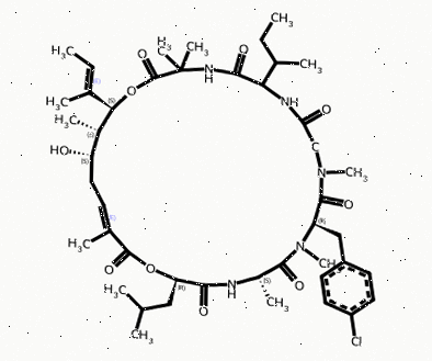 C/C=C(\C)[C@H]1OC(=O)C(C)(C)NC(=O)C(C(C)CC)NC(=O)CN(C)C(=O)[C@@H](Cc2ccc(Cl)cc2)N(C)C(=O)[C@H](C)NC(=O)[C@@H](CC(C)C)OC(=O)/C(C)=C/C[C@H](O)[C@@H]1C